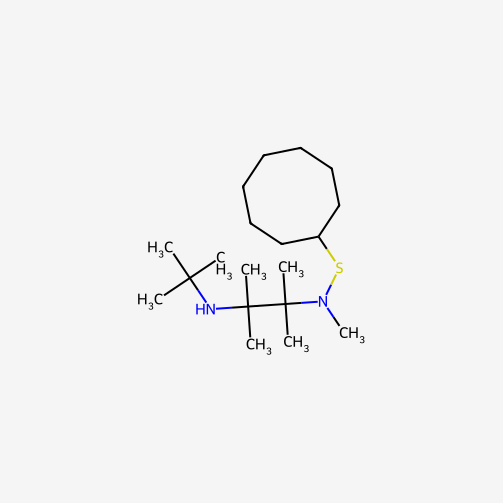 CN(SC1CCCCCCC1)C(C)(C)C(C)(C)NC(C)(C)C